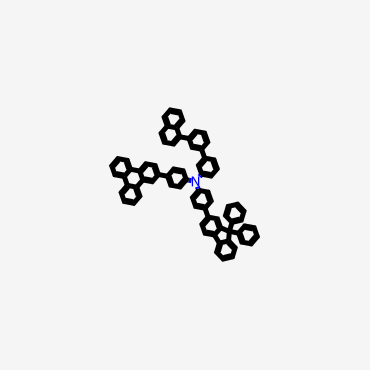 c1ccc(C2(c3ccccc3)c3ccccc3-c3ccc(-c4ccc(N(c5ccc(-c6ccc7c8ccccc8c8ccccc8c7c6)cc5)c5cccc(-c6cccc(-c7cccc8ccccc78)c6)c5)cc4)cc32)cc1